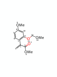 C=C(C(=O)OC)c1ccc(OC)cc1OCOC